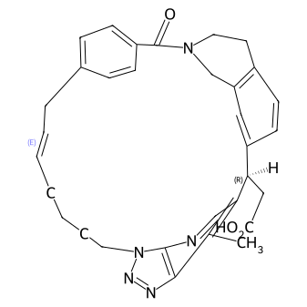 Cc1c2cnc3c1nnn3CCCC/C=C/Cc1ccc(cc1)C(=O)N1CCc3ccc(cc3C1)[C@H]2CC(=O)O